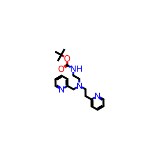 CC(C)(C)OC(=O)NCCN(CCc1ccccn1)Cc1ccccn1